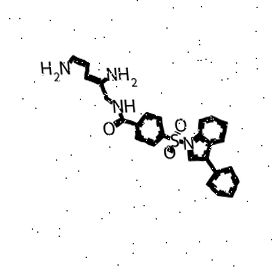 N/C=C\C=C(/N)CNC(=O)c1ccc(S(=O)(=O)n2cc(-c3ccccc3)c3ccccc32)cc1